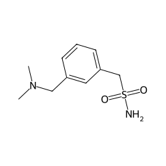 CN(C)Cc1cccc(CS(N)(=O)=O)c1